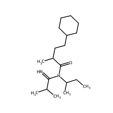 CCC(C)N(C(=N)C(C)C)C(=O)C(C)CCC1CCCCC1